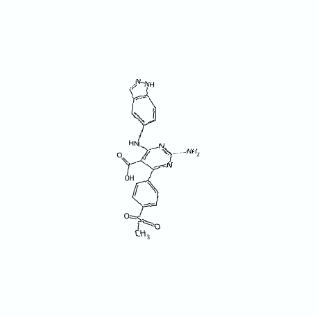 CS(=O)(=O)c1ccc(-c2nc(N)nc(Nc3ccc4[nH]ncc4c3)c2C(=O)O)cc1